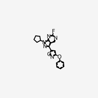 Fc1ncc2c(-c3cc(Oc4ccccc4)no3)nn(C3CCCC3)c2n1